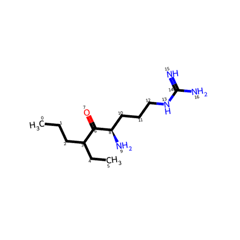 CCCC(CC)C(=O)[C@H](N)CCCNC(=N)N